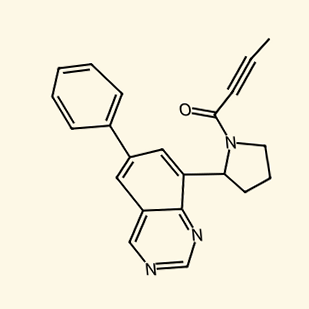 CC#CC(=O)N1CCCC1c1cc(-c2ccccc2)cc2cncnc12